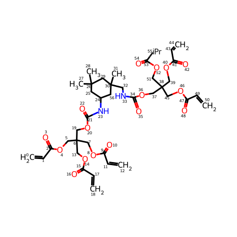 C=CC(=O)OCC(COC(=O)C=C)(COC(=O)C=C)COC(=O)NC1CC(C)(C)CC(C)(CNC(=O)OCC(COC(=O)C=C)(COC(=O)C=C)COC(=O)C(C)C)C1